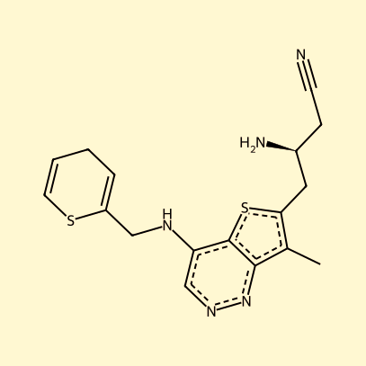 Cc1c(C[C@@H](N)CC#N)sc2c(NCC3=CCC=CS3)cnnc12